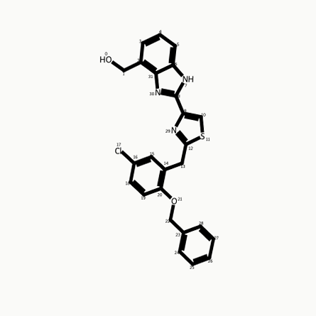 OCc1cccc2[nH]c(-c3csc(Cc4cc(Cl)ccc4OCc4ccccc4)n3)nc12